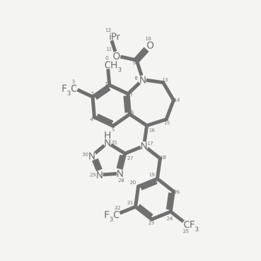 Cc1c(C(F)(F)F)ccc2c1N(C(=O)OC(C)C)CCCC2N(Cc1cc(C(F)(F)F)cc(C(F)(F)F)c1)c1nnn[nH]1